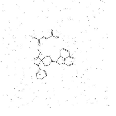 COC1CCN(c2ccccc2)C12CCN(C1Cc3cccc4cccc1c34)CC2.O=C(O)/C=C/C(=O)O